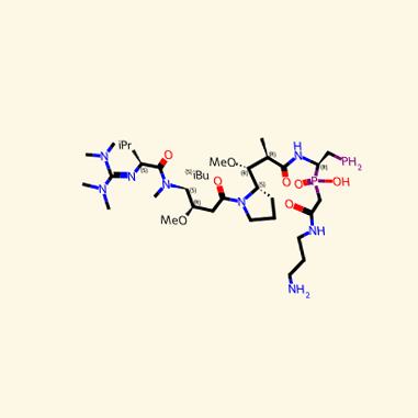 CC[C@H](C)[C@@H]([C@@H](CC(=O)N1CCC[C@H]1[C@H](OC)[C@@H](C)C(=O)N[C@@H](CP)P(=O)(O)CC(=O)NCCCN)OC)N(C)C(=O)[C@@H](N=C(N(C)C)N(C)C)C(C)C